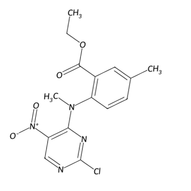 CCOC(=O)c1cc(C)ccc1N(C)c1nc(Cl)ncc1[N+](=O)[O-]